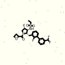 CCS(=O)(=O)N[C@H]1[C@@H](F)CN(C(=O)C2CCO2)[C@H]1Cc1cccc(-c2cccc(C(F)F)c2)c1F